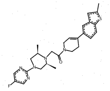 Cc1cc2cc(C3=CCN(C(=O)CN4[C@H](C)CN(c5ncc(F)cn5)C[C@@H]4C)CC3)ccc2s1